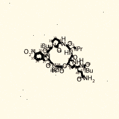 C=C(NC1C(=O)N[C@@H](CC(C)C)C(=O)NC2CCCN(C2=O)[C@@H](C(C)CC)C(=O)N(C)[C@@H](Cc2ccc([N+](=O)[O-])cc2)C(=O)N[C@@H](C(C)CC)C(=O)O[C@@H]1C)[C@H](CCC(N)=O)NC(=O)C(C)CC